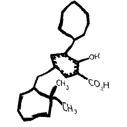 CC1(C)C=CC=CC1Cc1cc(C(=O)O)c(O)c(C2CCCCC2)c1